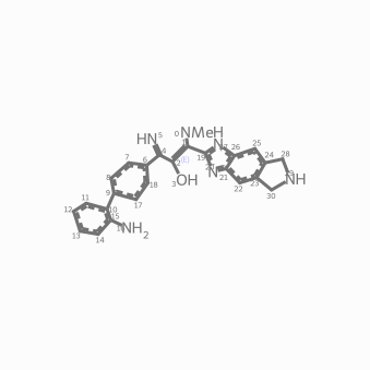 CN/C(=C(/O)C(=N)c1ccc(-c2ccccc2N)cc1)c1nc2cc3c(cc2[nH]1)CNC3